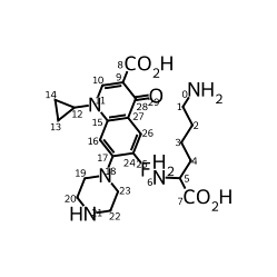 NCCCCC(N)C(=O)O.O=C(O)c1cn(C2CC2)c2cc(N3CCNCC3)c(F)cc2c1=O